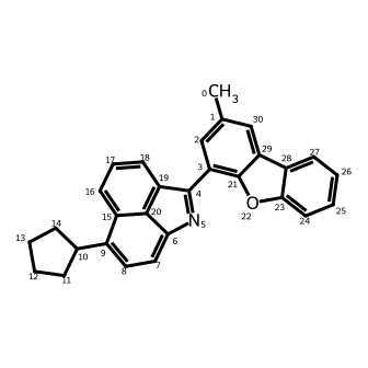 Cc1cc(C2=Nc3ccc(C4CCCC4)c4cccc2c34)c2oc3ccccc3c2c1